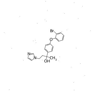 CC(O)(CCn1ccnc1)c1ccc(Oc2ccccc2Br)cc1